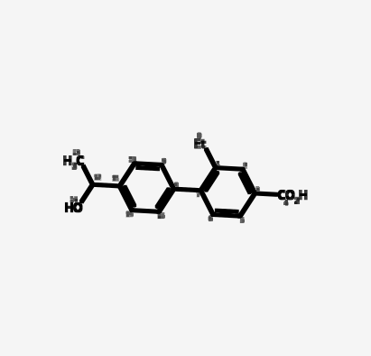 CCc1cc(C(=O)O)ccc1-c1ccc(C(C)O)cc1